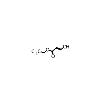 C/C=C/C(=O)OCC(Cl)(Cl)Cl